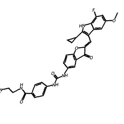 COc1cc(F)c2[nH]c(C3CC3)c(C=C3Oc4ccc(NC(=O)Nc5ccc(C(=O)NCCN(C)C)cc5)cc4C3=O)c2c1